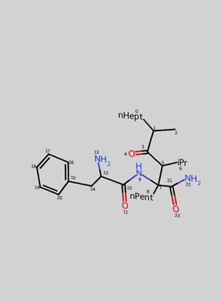 CCCCCCCC(C)C(=O)C(C(C)C)C(CCCCC)(NC(=O)C(N)Cc1ccccc1)C(N)=O